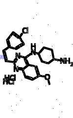 COc1ccc2nc(/C=C\c3ccc(Cl)cc3)nc(NC3CCC(N)CC3)c2c1.Cl.Cl